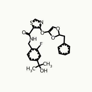 CC(C)(O)c1ccc(CNC(=O)c2scnc2OC2=COC(Cc3ccccc3)O2)c(F)c1